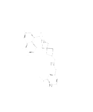 COc1cc(CNCC2CC3(C2)CN([C@H](C)c2cccc4ccccc24)C3)ccn1